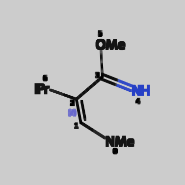 CN/C=C(\C(=N)OC)C(C)C